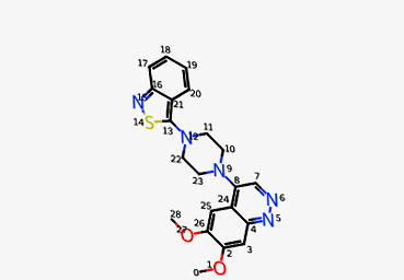 COc1cc2nncc(N3CCN(c4snc5ccccc45)CC3)c2cc1OC